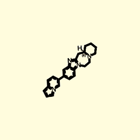 c1cc2ccc(-c3ccc4c(c3)nc3n4CCN4CCCC[C@@H]4C3)cn2c1